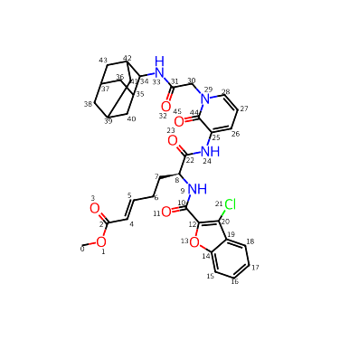 COC(=O)/C=C/CC[C@H](NC(=O)c1oc2ccccc2c1Cl)C(=O)Nc1cccn(CC(=O)NC2C3CC4CC(C3)CC2C4)c1=O